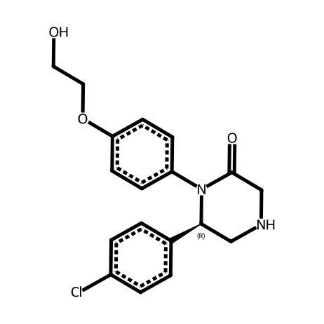 O=C1CNC[C@@H](c2ccc(Cl)cc2)N1c1ccc(OCCO)cc1